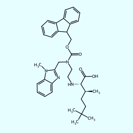 C[C@@H](CCC(C)(C)C)[C@H](NCCN(Cc1nc2ccccc2n1C)C(=O)OCC1c2ccccc2-c2ccccc21)C(=O)O